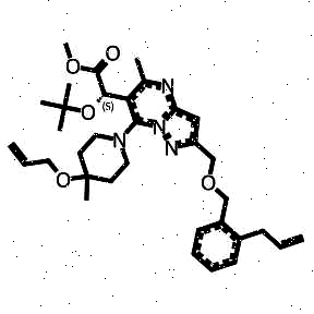 C=CCOC1(C)CCN(c2c([C@H](OC(C)(C)C)C(=O)OC)c(C)nc3cc(COCc4ccccc4CC=C)nn23)CC1